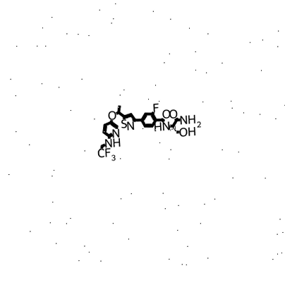 CC(Oc1ccc(NCC(F)(F)F)nc1)c1cc(-c2ccc(C(=O)N[C@@H](CO)C(N)=O)c(F)c2)ns1